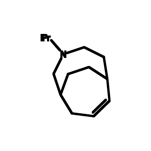 CC(C)N1CCC2C=CCC(CC2)C1